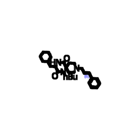 CCCCN1C(=O)C(CC2CCCCC2)NC(=O)C12CCN(C/C=C/c1ccccc1)CC2